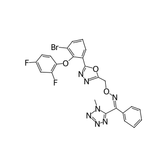 Cn1nnnc1/C(=N\OCc1nnc(-c2cccc(Br)c2Oc2ccc(F)cc2F)o1)c1ccccc1